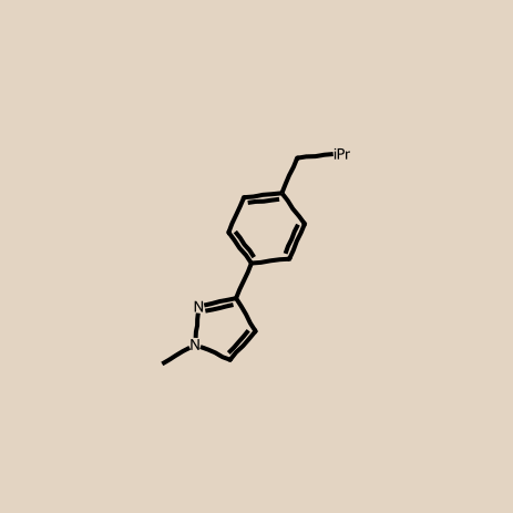 CC(C)Cc1ccc(-c2ccn(C)n2)cc1